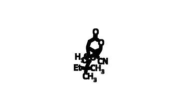 CCC(C)(C)C(=O)OC1C2OC(=O)CC1[C@H](C)C2C#N